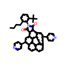 CCCCc1cccc(C(C)(C)C)c1-n1c(=O)c2c3cc(-c4ccncc4)c4ccc5ccc6c(-c7ccncc7)cc(c2c1=O)c1c6c5c4c31